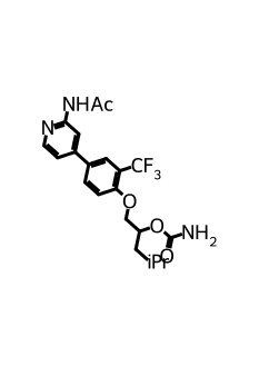 CC(=O)Nc1cc(-c2ccc(OCC(CC(C)C)OC(N)=O)c(C(F)(F)F)c2)ccn1